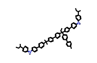 CCC(C)c1ccc(N(C)c2ccc(-c3ccc(C(C)(C)c4ccc(-c5ccc(C(CC)(c6ccc(-c7ccc(C)cc7)cc6)c6ccc(-c7ccc(N(C)c8ccc(C(C)CC)cc8)cc7)cc6)cc5)cc4)cc3)cc2)cc1